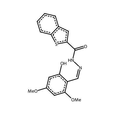 COc1cc(O)c(/C=N\NC(=O)c2cc3ccccc3s2)c(OC)c1